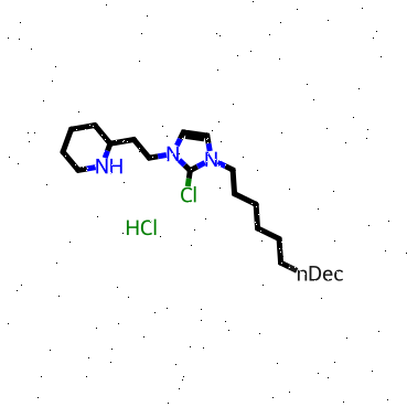 CCCCCCCCCCCCCCCCN1C=CN(CCC2CCCCN2)C1Cl.Cl